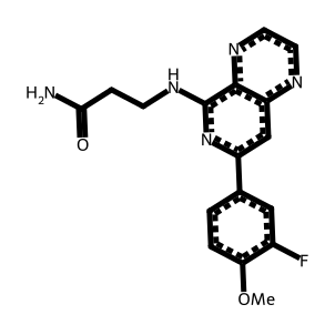 COc1ccc(-c2cc3nccnc3c(NCCC(N)=O)n2)cc1F